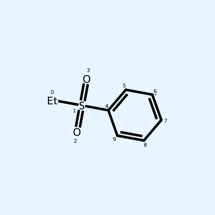 CCS(=O)(=O)c1c[c]ccc1